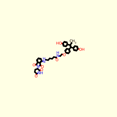 CCC(=C(c1ccc(O)cc1)c1ccc(OCCNC(=O)CCCCCNc2cccc3c2C(=O)N(C2CCC(=O)NC2=O)C3=O)cc1)c1ccc(O)cc1